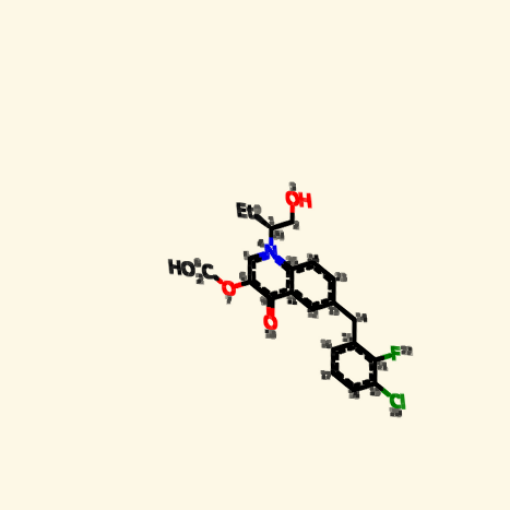 CC[C@@H](CO)n1cc(OC(=O)O)c(=O)c2cc(Cc3cccc(Cl)c3F)ccc21